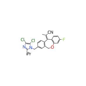 C/C(C#N)=C1\c2ccc(Cn3c(C(C)C)nc(Cl)c3Cl)cc2COc2cc(F)ccc21